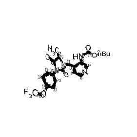 CCCCOC(=O)Nc1cnccc1CN1C(=O)N(c2ccc(OC(F)(F)F)cc2)C(=O)C1C